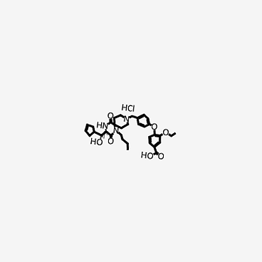 CCCCN1C(=O)[C@@H]([C@H](O)C2CC=CC2)NC(=O)C12CCN(Cc1ccc(Oc3ccc(C(=O)O)cc3OCC)cc1)CC2.Cl